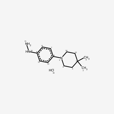 CC1(C)CCN(c2ccc(NN)cc2)CC1.Cl